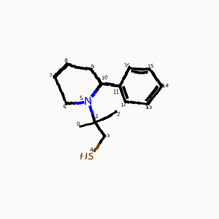 CC(C)(CS)N1CCCCC1c1ccccc1